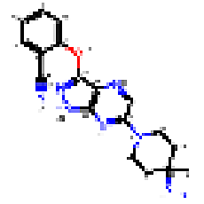 CC1(N)CCN(c2cnc3c(Oc4ccccc4C#N)n[nH]c3n2)CC1